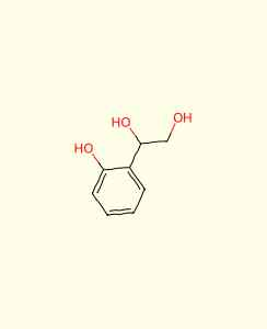 OCC(O)c1ccccc1O